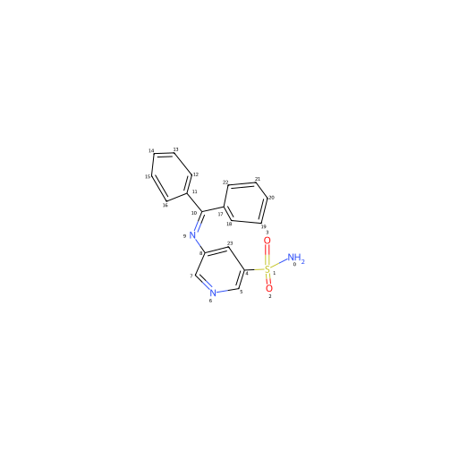 NS(=O)(=O)c1cncc(N=C(c2ccccc2)c2ccccc2)c1